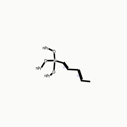 C/C=C/C=C/[Si](OCCC)(OCCC)OCCC